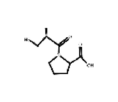 C[C@H](CS)C(=O)N1CCCC1C(=O)O